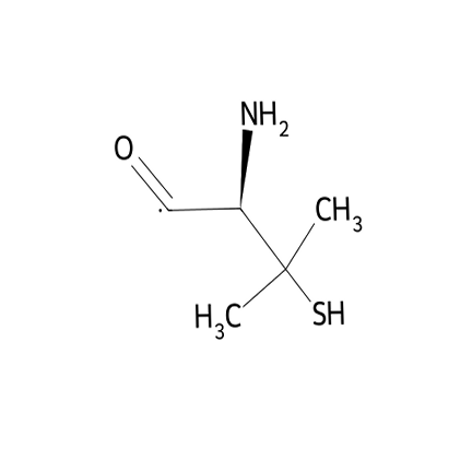 CC(C)(S)[C@H](N)[C]=O